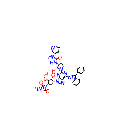 O=C(Nc1cccnc1)N[C@@H]1CCN(c2nc(NCC(c3ccccc3)c3ccccc3)c3ncn([C@@H]4C[C@H](N5C(=O)CNC5=O)[C@@H](O)[C@H]4O)c3n2)C1